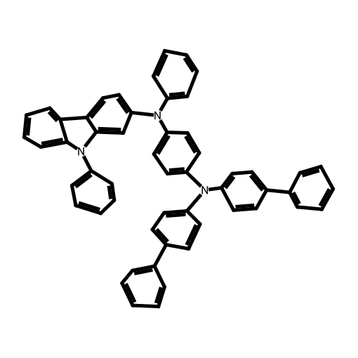 c1ccc(-c2ccc(N(c3ccc(-c4ccccc4)cc3)c3ccc(N(c4ccccc4)c4ccc5c6ccccc6n(-c6ccccc6)c5c4)cc3)cc2)cc1